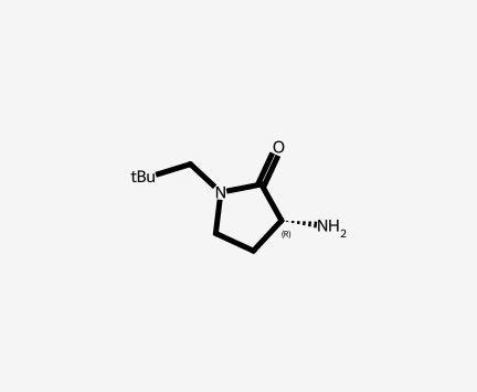 CC(C)(C)CN1CC[C@@H](N)C1=O